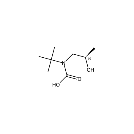 C[C@@H](O)CN(C(=O)O)C(C)(C)C